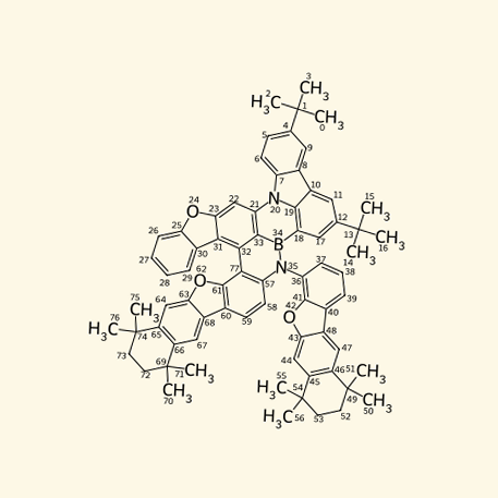 CC(C)(C)c1ccc2c(c1)c1cc(C(C)(C)C)cc3c1n2-c1cc2oc4ccccc4c2c2c1B3N(c1cccc3c1oc1cc4c(cc13)C(C)(C)CCC4(C)C)c1ccc3c(oc4cc5c(cc43)C(C)(C)CCC5(C)C)c1-2